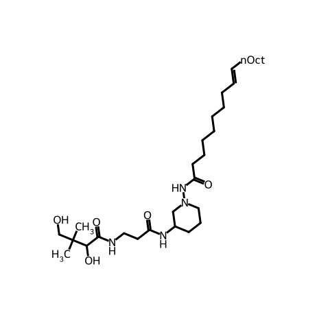 CCCCCCCCC=CCCCCCCCC(=O)NN1CCCC(NC(=O)CCNC(=O)C(O)C(C)(C)CO)C1